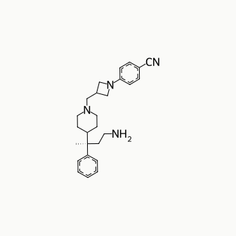 C[C@](CCN)(c1ccccc1)C1CCN(CC2CN(c3ccc(C#N)cc3)C2)CC1